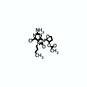 CCCCn1c(=O)n(C2OCCC2OC(C)=O)c2nc(N)nc(Cl)c21